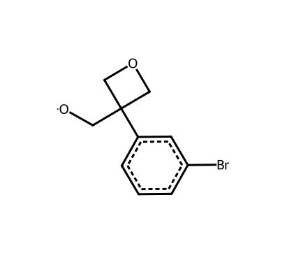 [O]CC1(c2cccc(Br)c2)COC1